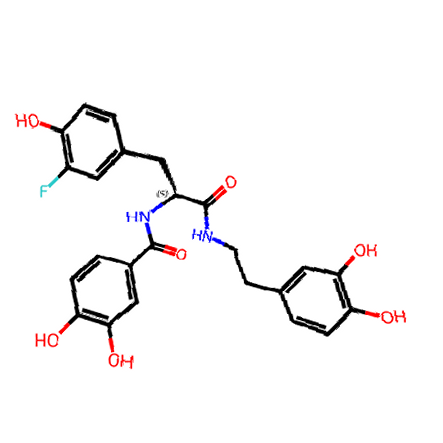 O=C(N[C@@H](Cc1ccc(O)c(F)c1)C(=O)NCCc1ccc(O)c(O)c1)c1ccc(O)c(O)c1